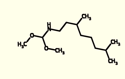 COC(NCCC(C)CCCC(C)C)OC